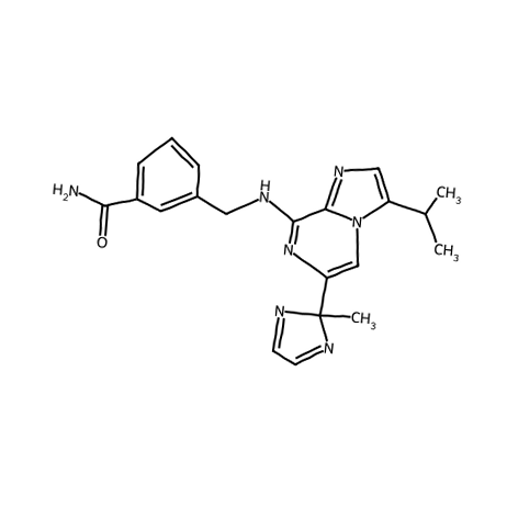 CC(C)c1cnc2c(NCc3cccc(C(N)=O)c3)nc(C3(C)N=CC=N3)cn12